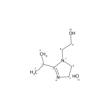 CC(C)C1=NCCN1CCO.Cl